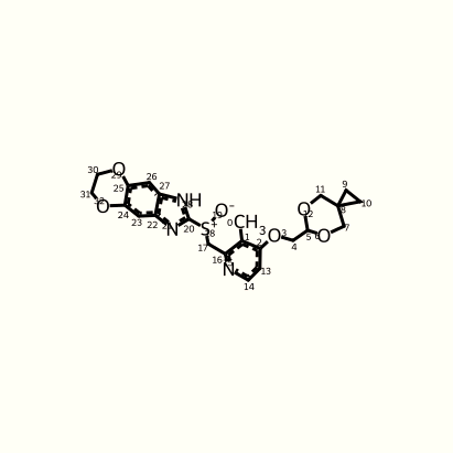 Cc1c(OCC2OCC3(CC3)CO2)ccnc1C[S+]([O-])c1nc2cc3c(cc2[nH]1)OCCO3